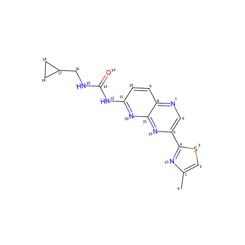 Cc1csc(-c2cnc3ccc(NC(=O)NCC4CC4)nc3n2)n1